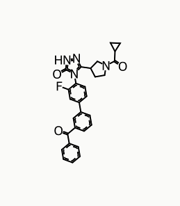 O=C(c1ccccc1)c1cccc(-c2ccc(-n3c(C4CCN(C(=O)C5CC5)C4)n[nH]c3=O)c(F)c2)c1